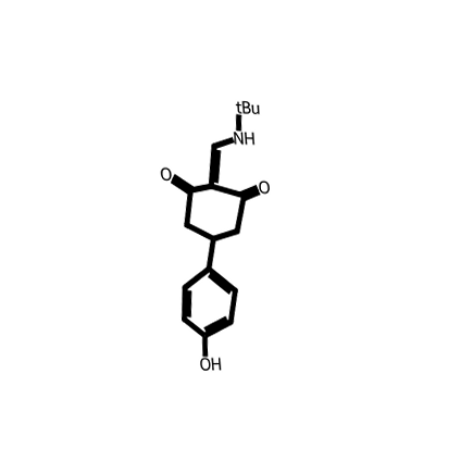 CC(C)(C)NC=C1C(=O)CC(c2ccc(O)cc2)CC1=O